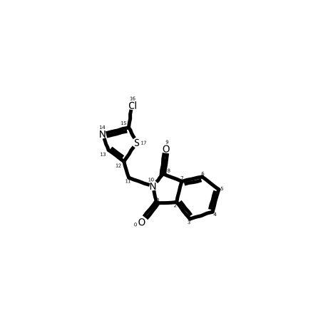 O=C1c2ccccc2C(=O)N1Cc1cnc(Cl)s1